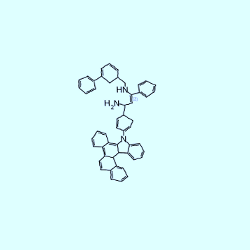 NC(/C=C(\NCC1C=CC=C(c2ccccc2)C1)c1ccccc1)C1C=CC(N2C3=c4ccccc4=C4C=Cc5ccccc5C4C3c3ccccc32)=CC1